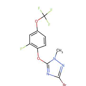 Cn1nc(Br)nc1Oc1ccc(OC(F)(F)F)cc1F